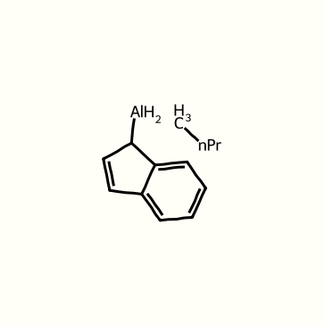 CCCC.[AlH2][CH]1C=Cc2ccccc21